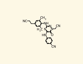 Cc1cc(CCC#N)cc(C)c1Nc1nc(Nc2ccc(C#N)cc2)c(=O)n(CC#N)n1